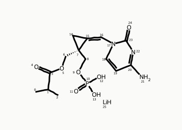 CC(C)C(=O)OC[C@]1(COP(=O)(O)O)C/C1=C/n1ccc(N)nc1=O.[LiH]